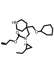 C=CCOC(=O)N(CC1(COC2CCCCC2)CCNCC1)[C@@H]1CC1CC